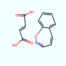 C1=Cc2ccccc2ON=C1.O=C(O)/C=C/C(=O)O